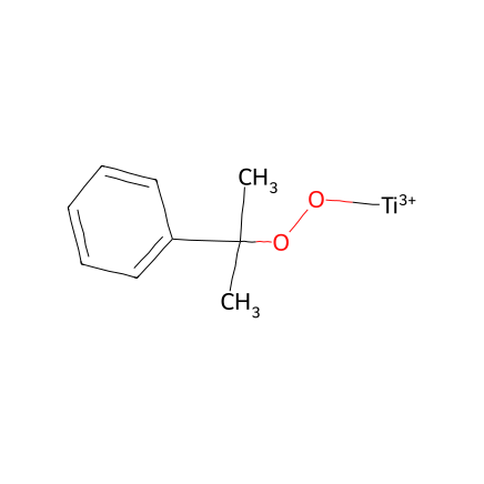 CC(C)(O[O][Ti+3])c1ccccc1